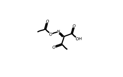 CC(=O)O/N=C(\C(C)=O)C(=O)O